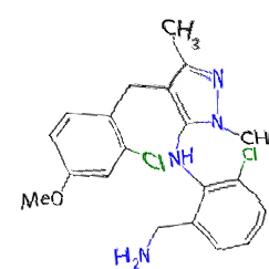 COc1ccc(Cc2c(C)nn(C)c2Nc2c(Cl)cccc2CN)c(Cl)c1